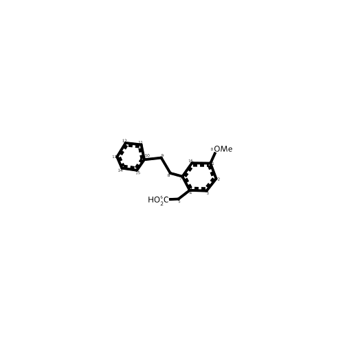 COc1ccc(CC(=O)O)c(CCc2ccccc2)c1